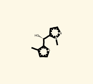 Cc1ccsc1[C@H](O)c1ccnn1C